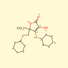 CCOC(=O)C1(CSC2CCCCC2)OC(=O)C(O)=C1SC1CCCCC1